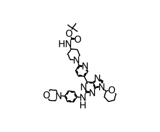 CC(C)(C)OC(=O)NC1CCN(c2ccc(-c3nc(Nc4ccc(N5CCOCC5)cc4)nc4c3ncn4C3CCCCO3)cn2)CC1